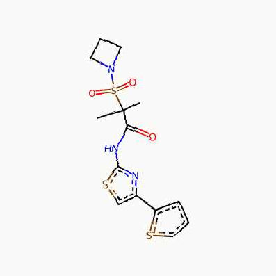 CC(C)(C(=O)Nc1nc(-c2cccs2)cs1)S(=O)(=O)N1CCC1